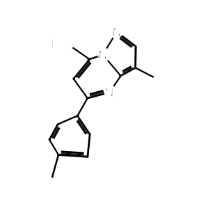 Cc1ccc(-c2cc(C(F)(F)F)n3ncc(I)c3n2)cc1